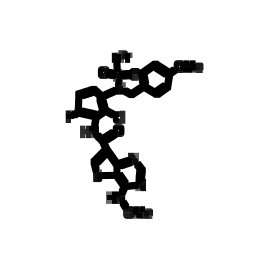 CCCS(=O)(=O)N(Cc1ccc(OC)cc1)c1ccc(F)c(NC(=O)c2csc3c(NOC)ncnc23)c1Cl